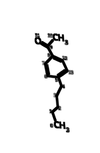 CCCCCc1ccc(C(C)=O)cc1